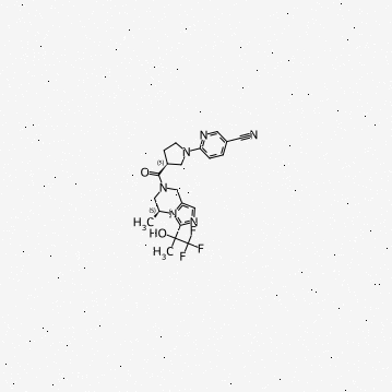 C[C@H]1CN(C(=O)[C@H]2CCN(c3ccc(C#N)cn3)C2)Cc2cnc(C(C)(O)C(F)(F)F)n21